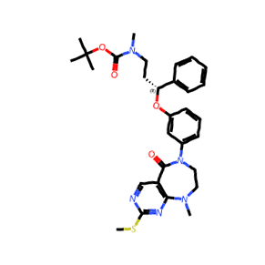 CSc1ncc2c(n1)N(C)CCN(c1cccc(O[C@H](CCN(C)C(=O)OC(C)(C)C)c3ccccc3)c1)C2=O